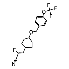 N#CC(F)=CC1CCC(OCc2ccc(OC(F)(F)F)cc2)CC1